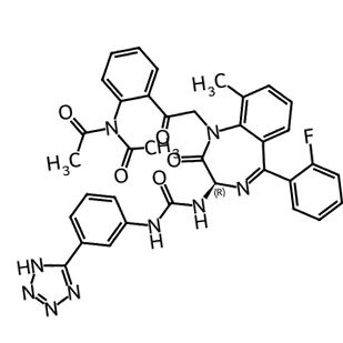 CC(=O)N(C(C)=O)c1ccccc1C(=O)CN1C(=O)[C@H](NC(=O)Nc2cccc(-c3nnn[nH]3)c2)N=C(c2ccccc2F)c2cccc(C)c21